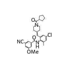 COc1cc(C#N)cc(C(=O)Nc2c(C)cc(Cl)cc2C=C2CCN(C(=O)C3CCCC3)CC2)c1